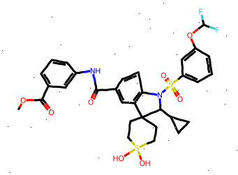 COC(=O)c1cccc(NC(=O)c2ccc3c(c2)C2(CCS(O)(O)CC2)C(C2CC2)N3S(=O)(=O)c2cccc(OC(F)F)c2)c1